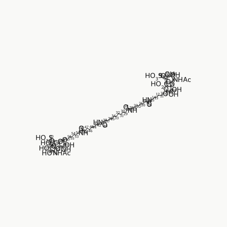 CC(=O)NC1C(OC2C(C(=O)O)OC(OCCCCCCNC(=O)CCCCCCCNC(=O)CCCCCCCCCCC(=O)NCCCCCCCC(=O)NCCCCCCOC3OC(C(=O)O)C(OC4OC(COS(=O)(=O)O)C(O)C(O)C4NC(C)=O)C(O)C3O)C(O)C2O)OC(COS(=O)(=O)O)C(O)C1O